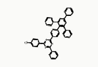 Clc1ccc(-c2nc(-c3ccccc3)nc(-c3ccc(-c4c(-c5ccccc5)cc(-c5ccccc5)cc4-c4ccccc4)cc3)n2)cc1